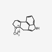 CN1CCC=C2c3cccc4[nH]cc(c34)C[C@H]21